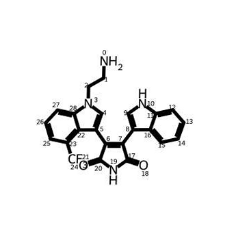 NCCn1cc(C2=C(c3c[nH]c4ccccc34)C(=O)NC2=O)c2c(C(F)(F)F)cccc21